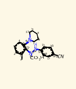 Cc1cccc(N2CCCCC2)c1N(Nc1ccc(C#N)cc1)C(=O)O